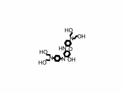 O=C1C=C(O)C(=Nc2ccc(N(CCO)CCO)cc2)C=C1Nc1ccc(N(CCO)CCO)cc1